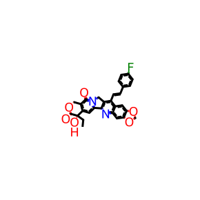 CC[C@@]1(O)C(=O)OCc2c1cc1n(c2=O)Cc2c-1nc1cc3c(cc1c2C=Cc1ccc(F)cc1)OCO3